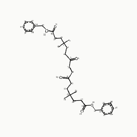 CC(C)(CCC(=O)CCC(=O)CCC(C)(C)CCC(=O)OCc1ccccc1)CCC(=O)OCc1ccccc1